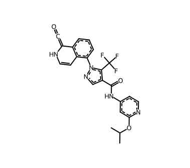 CC(C)Oc1cc(NC(=O)c2cnn(-c3cccc4c3C=CNC4=C=O)c2C(F)(F)F)ccn1